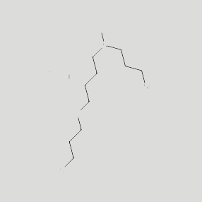 Cl.Cl.NCCCOCCCCN(CCCN)C(=O)O